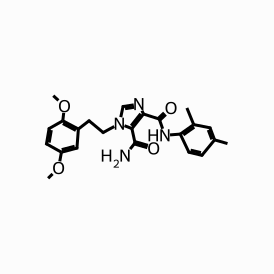 COc1ccc(OC)c(CCn2cnc(C(=O)Nc3ccc(C)cc3C)c2C(N)=O)c1